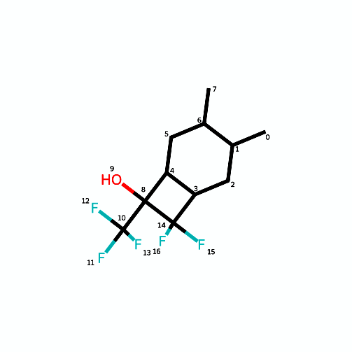 CC1CC2C(CC1C)C(O)(C(F)(F)F)C2(F)F